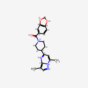 Bc1cnn2c(C)cc(C3CCN(C(=O)c4ccc5c(c4)OCO5)CC3)nc12